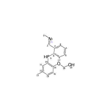 C/N=C/c1ccccc1Pc1cc(C)ccc1OCO